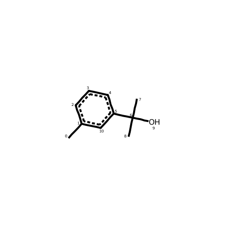 Cc1cccc(C(C)(C)O)c1